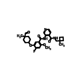 COc1cc(F)c(OC2CCC(C)(C=O)CC2)cc1C(=O)Nc1cnccc1C(=O)NCC1(C)CCC1